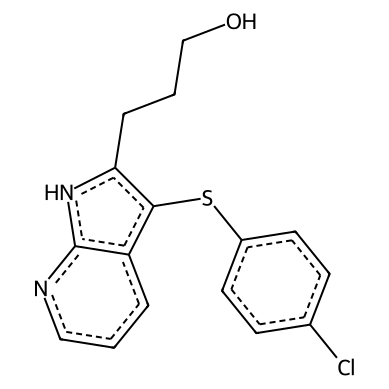 OCCCc1[nH]c2ncccc2c1Sc1ccc(Cl)cc1